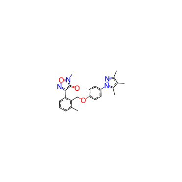 Cc1cccc(-c2non(C)c2=O)c1COc1ccc(-n2nc(C)c(C)c2C)cc1